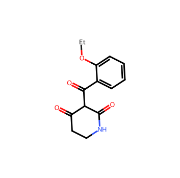 CCOc1ccccc1C(=O)C1C(=O)CCNC1=O